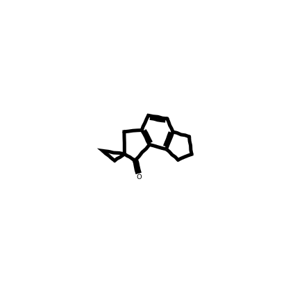 O=C1c2c(ccc3c2CCC3)CC12CC2